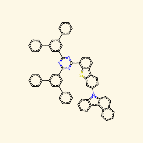 c1ccc(-c2cc(-c3ccccc3)cc(-c3nc(-c4cc(-c5ccccc5)cc(-c5ccccc5)c4)nc(-c4cccc5c4sc4cc(-n6c7ccccc7c7c8ccccc8ccc76)ccc45)n3)c2)cc1